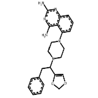 Nc1nc(N)c2c(N3CCN(C(Cc4ccccc4)C4=COCO4)CC3)cccc2n1